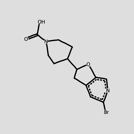 O=C(O)N1CCC(C2Cc3cc(Br)ncc3O2)CC1